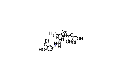 CCOc1cc(/C=N/Nc2nc(N)c3ncn(C4OC(CO)C(O)C4O)c3n2)ccc1O